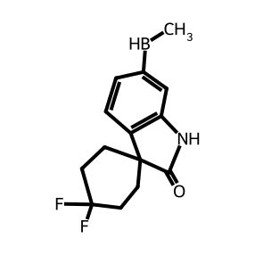 CBc1ccc2c(c1)NC(=O)C21CCC(F)(F)CC1